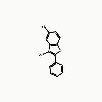 CC(=O)c1c(-c2ccccc2)oc2ccc(Cl)cc12